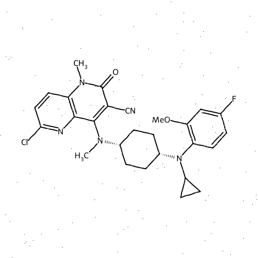 COc1cc(F)ccc1N(C1CC1)[C@H]1CC[C@@H](N(C)c2c(C#N)c(=O)n(C)c3ccc(Cl)nc23)CC1